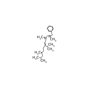 C=C(CC/C(=C/CN(C)CN(C)Cc1ccccc1)C(C)C)CC(C)C